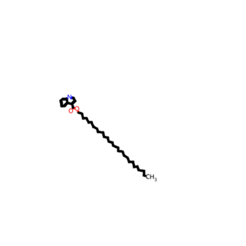 CCCCCCCCCCCCCCCCCCCCCCCCCCCCOC(=O)c1ccnc2ccccc12